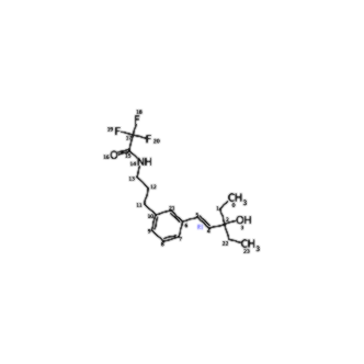 CCC(O)(/C=C/c1cccc(CCCNC(=O)C(F)(F)F)c1)CC